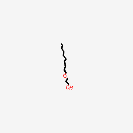 CCCCCCCCCCOCCCO